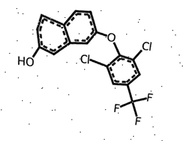 Oc1ccc2ccc(Oc3c(Cl)cc(C(F)(F)F)cc3Cl)cc2c1